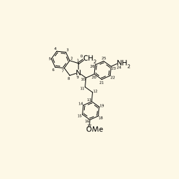 C=C1c2ccccc2CN1C(CCc1ccc(OC)cc1)c1ccc(N)cc1